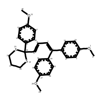 COc1ccc(C(=CC=CC2(c3ccc(OC)cc3)SCCCS2)c2ccc(OC)cc2)cc1